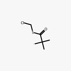 [CH2]C(C)(C)C(=O)SCCl